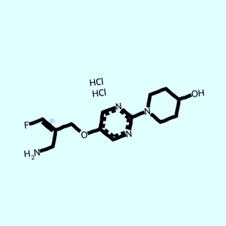 Cl.Cl.NC/C(=C\F)COc1cnc(N2CCC(O)CC2)nc1